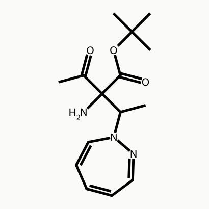 CC(=O)C(N)(C(=O)OC(C)(C)C)C(C)N1C=CC=CC=N1